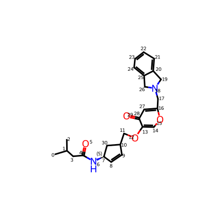 CC(C)CC(=O)N[C@@H]1C=CC(COc2coc(CN3Cc4ccccc4C3)cc2=O)C1